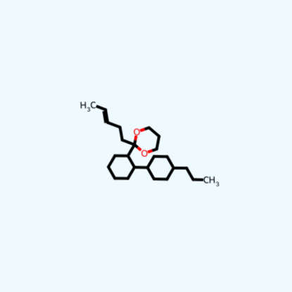 C/C=C/CCC1(C2CCCCC2C2CCC(CCC)CC2)OCCCO1